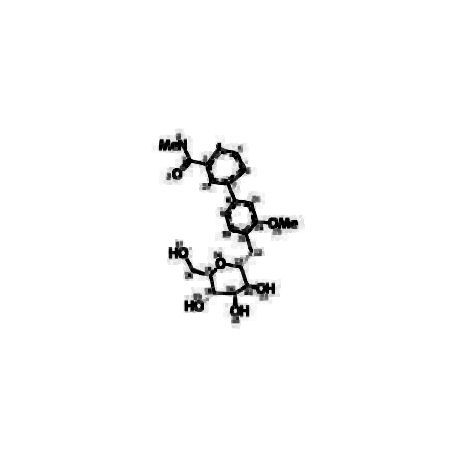 CNC(=O)c1cccc(-c2ccc(C[C@H]3O[C@H](CO)[C@@H](O)[C@H](O)[C@@H]3O)c(OC)c2)c1